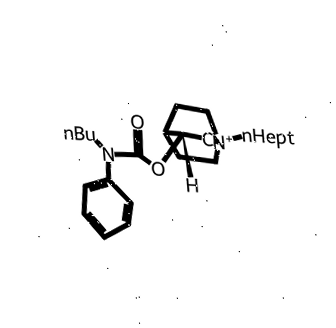 CCCCCCC[N+]12CCC(CC1)[C@@H](OC(=O)N(CCCC)c1ccccc1)C2